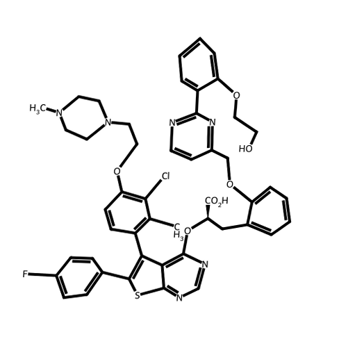 Cc1c(-c2c(-c3ccc(F)cc3)sc3ncnc(O[C@H](Cc4ccccc4OCc4ccnc(-c5ccccc5OCCO)n4)C(=O)O)c23)ccc(OCCN2CCN(C)CC2)c1Cl